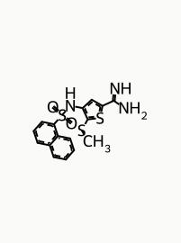 CSc1sc(C(=N)N)cc1NS(=O)(=O)c1cccc2ccccc12